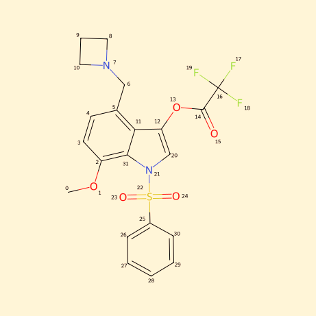 COc1ccc(CN2CCC2)c2c(OC(=O)C(F)(F)F)cn(S(=O)(=O)c3ccccc3)c12